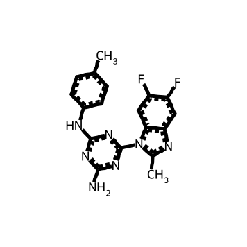 Cc1ccc(Nc2nc(N)nc(-n3c(C)nc4cc(F)c(F)cc43)n2)cc1